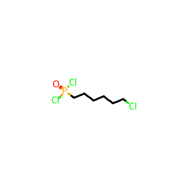 O=P(Cl)(Cl)CCCCCCCl